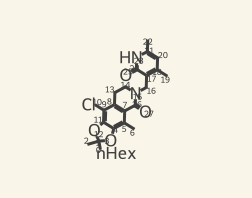 CCCCCCC1(C)Oc2c(C)c3c(c(Cl)c2O1)CCN(Cc1c(C)cc(C)[nH]c1=O)C3=O